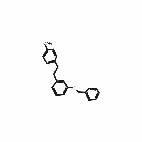 COc1ccc([CH]Cc2cccc(OCc3ccccc3)c2)cc1